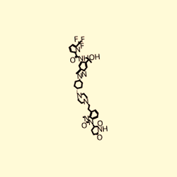 Cn1c(=O)n(C2CCC(=O)NC2=O)c2cccc(CCN3CCN(C[C@H]4CC[C@H](n5cc6cc(NC(=O)c7cccc(C(F)(F)F)n7)c(C(C)(C)O)cc6n5)CC4)CC3)c21